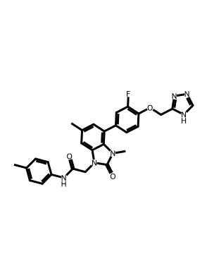 Cc1ccc(NC(=O)Cn2c(=O)n(C)c3c(-c4ccc(OCc5nnc[nH]5)c(F)c4)cc(C)cc32)cc1